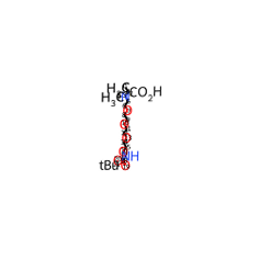 CC(C(=O)O)N(C)CCOCCOCCOCCONC(=O)OC(C)(C)C